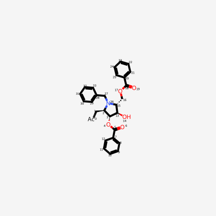 CC(=O)C[C@@H]1[C@@H](OC(=O)c2ccccc2)[C@H](O)[C@@H](COC(=O)c2ccccc2)N1Cc1ccccc1